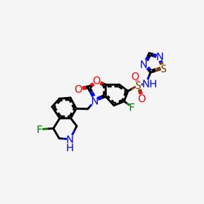 O=c1oc2cc(S(=O)(=O)Nc3ncns3)c(F)cc2n1Cc1cccc2c1CNCC2F